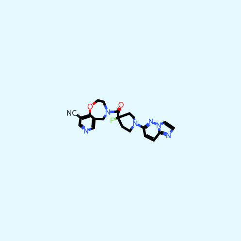 N#Cc1cncc2c1OCCN(C(=O)C1(F)CCN(c3ccc4nccn4n3)CC1)C2